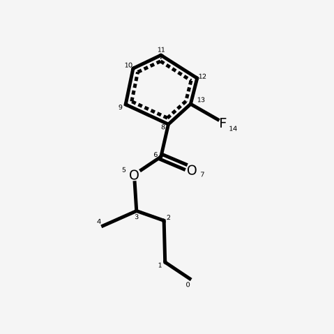 CCCC(C)OC(=O)c1cc[c]cc1F